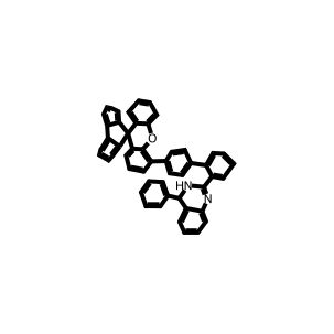 c1ccc(C2NC(c3ccccc3-c3ccc(-c4cccc5c4Oc4ccccc4C54c5ccccc5-c5ccccc54)cc3)=Nc3ccccc32)cc1